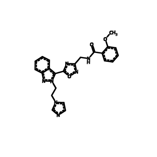 COc1ccccc1C(=O)NCc1noc(-c2c3ccccc3nn2CCn2ccnc2)n1